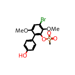 COc1cc(Br)c(OC)c(OS(C)(=O)=O)c1-c1ccc(O)cc1